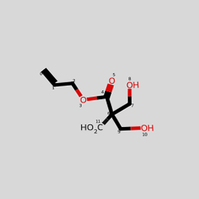 C=CCOC(=O)C(CO)(CO)C(=O)O